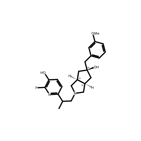 COc1cccc(C[C@]2(O)C[C@H]3CN(CC(C)c4ccc(O)c(F)n4)C[C@H]3C2)c1